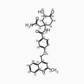 Cc1cc(COc2ccc(C(=O)NC3(CC(N)=O)CCC(=O)N(O)C3)cc2)c2ccccc2n1